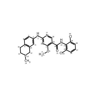 COc1nc(Nc2ccc3c(c2)CN(C)CC3)ncc1C(=O)Nc1c(Cl)cccc1Cl